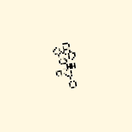 CC1(Nc2ccc3c(c2)C2(c4ccccc4-c4ccccc42)c2ccccc2-3)C=CC(c2ccccc2)=CC1Cl